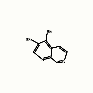 CC(C)(C)c1cnc2cnccc2c1C(C)(C)C